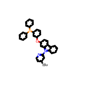 CC(C)(C)c1ccnc(-n2c3ccccc3c3ccc(Oc4cccc(P(c5ccccc5)c5ccccc5)c4)cc32)c1